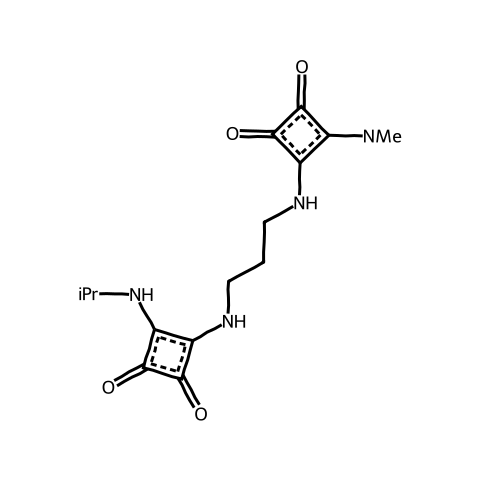 CNc1c(NCCCNc2c(NC(C)C)c(=O)c2=O)c(=O)c1=O